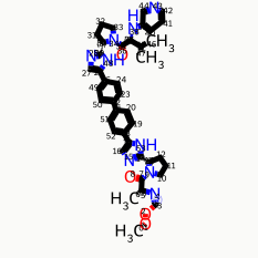 COO/C=N\[C@@H](C)C(=O)N1CCC[C@H]1c1ncc(-c2ccc(-c3ccc(-c4cnc([C@@H]5CCCN5C(=O)[C@@H](Nc5cccnc5)C(C)C)[nH]4)cc3)cc2)[nH]1